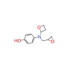 Oc1ccc(N(CC2CO2)C2CCO2)cc1